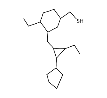 CCC1CCC(CS)CC1CC1C(CC)C1C1CCCC1